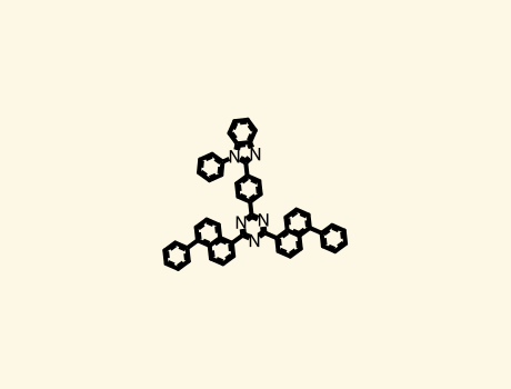 c1ccc(-c2cccc3c(-c4nc(-c5ccc(-c6nc7ccccc7n6-c6ccccc6)cc5)nc(-c5cccc6c(-c7ccccc7)cccc56)n4)cccc23)cc1